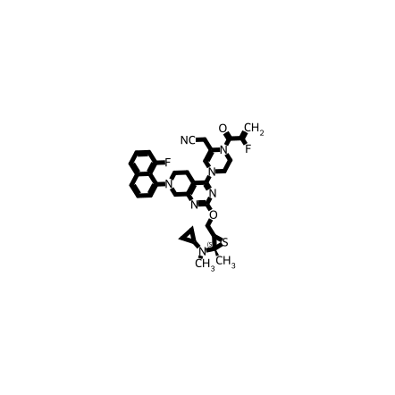 C=C(F)C(=O)N1CCN(c2nc(OCC3S[C@]3(C)N(C)C3CC3)nc3c2CCN(c2cccc4cccc(F)c24)C3)C=C1CC#N